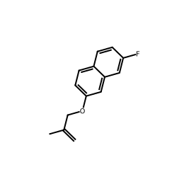 C=C(C)COc1ccc2ccc(F)cc2c1